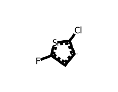 Fc1c[c]c(Cl)s1